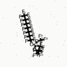 FC(F)(F)O[Si](OC(F)(F)F)(OC(F)(F)C(F)(F)C(F)(F)C(F)(F)C(F)(F)C(F)(F)C(F)(F)F)C(F)(F)C(F)(F)F